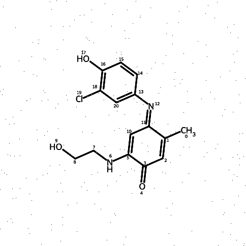 CC1=CC(=O)C(NCCO)=CC1=Nc1ccc(O)c(Cl)c1